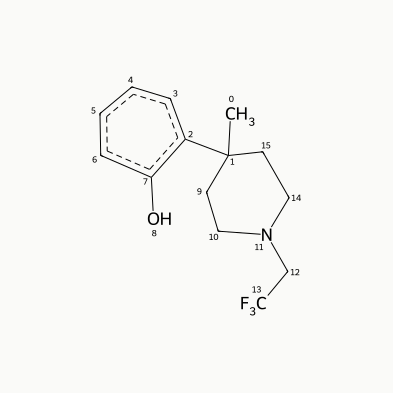 CC1(c2ccccc2O)CCN(CC(F)(F)F)CC1